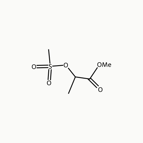 COC(=O)C(C)OS(C)(=O)=O